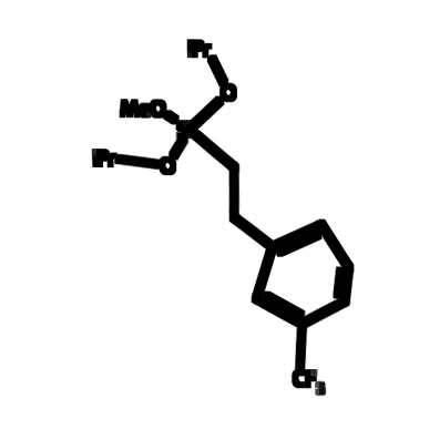 CO[Si](CCc1cccc(C(F)(F)F)c1)(OC(C)C)OC(C)C